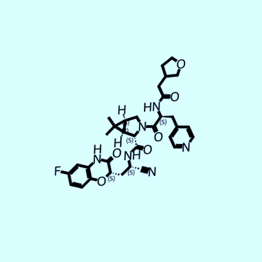 CC1(C)[C@@H]2[C@@H](C(=O)N[C@H](C#N)C[C@@H]3Oc4ccc(F)cc4NC3=O)N(C(=O)[C@H](Cc3ccncc3)NC(=O)CC3CCOC3)C[C@@H]21